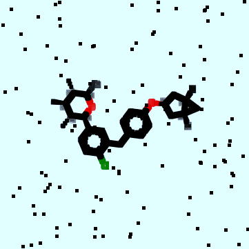 CC[C@H]1O[C@@H](c2ccc(Cl)c(Cc3ccc(O[C@H]4C[C@@H]5C[C@@H]5C4)cc3)c2)[C@H](C)[C@@H](C)[C@@H]1C